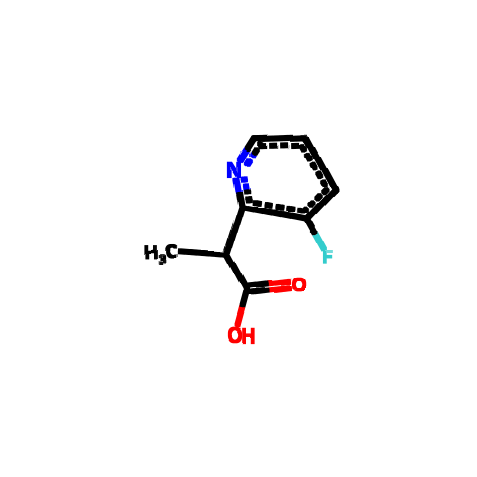 CC(C(=O)O)c1ncccc1F